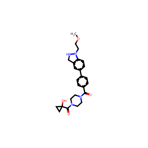 COCCN1NCc2cc(-c3ccc(C(=O)N4CCN(C(=O)C5(O)CC5)CC4)cc3)ccc21